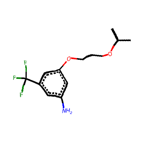 CC(C)OCCOc1cc(N)cc(C(F)(F)F)c1